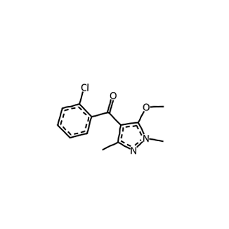 COc1c(C(=O)c2ccccc2Cl)c(C)nn1C